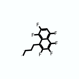 [CH2][CH]CCc1c(F)c(F)c(F)c2c(F)cc(F)c(F)c12